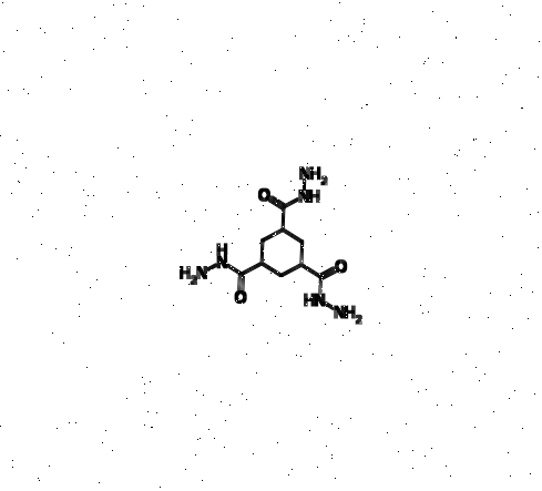 NNC(=O)C1CC(C(=O)NN)CC(C(=O)NN)C1